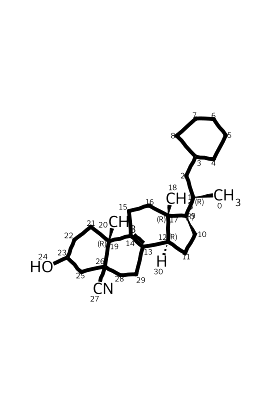 C[C@H](CC1CCCCC1)[C@H]1CC[C@H]2C3=C(CC[C@]12C)[C@@]1(C)CCC(O)CC1(C#N)CC3